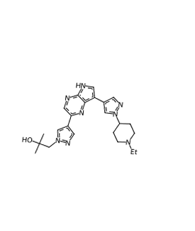 CCN1CCC(n2cc(-c3c[nH]c4ncc(-c5cnn(CC(C)(C)O)c5)nc34)cn2)CC1